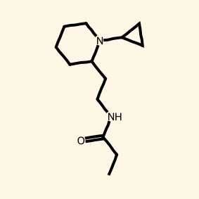 CCC(=O)NCCC1CCCCN1C1CC1